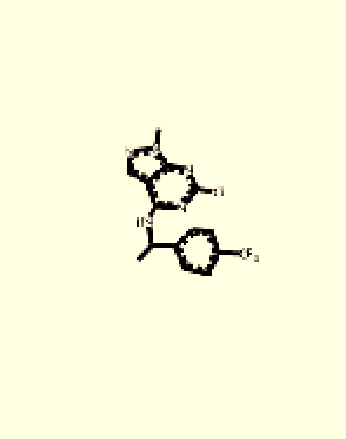 CC(Nc1nc(Cl)nc2c1cnn2C)c1ccc(C(F)(F)F)cc1